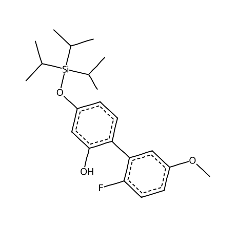 COc1ccc(F)c(-c2ccc(O[Si](C(C)C)(C(C)C)C(C)C)cc2O)c1